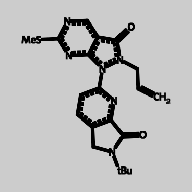 C=CCn1c(=O)c2cnc(SC)nc2n1-c1ccc2c(n1)C(=O)N(C(C)(C)C)C2